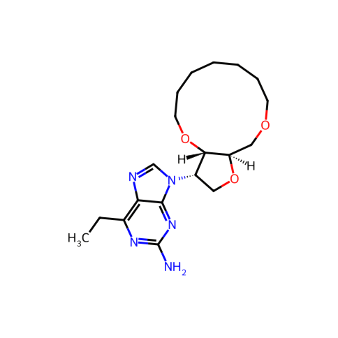 CCc1nc(N)nc2c1ncn2[C@H]1CO[C@@H]2COCCCCCCCO[C@H]21